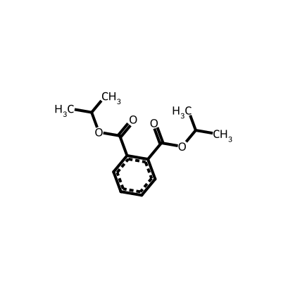 CC(C)OC(=O)c1ccccc1C(=O)OC(C)C